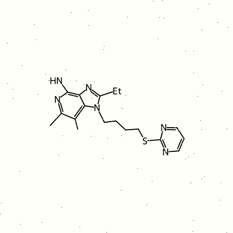 CCc1nc2c([NH])nc(C)c(C)c2n1CCCCSc1ncccn1